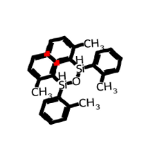 Cc1ccccc1[SiH](O[SiH](c1ccccc1C)c1ccccc1C)c1ccccc1C